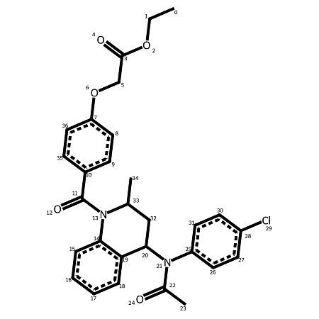 CCOC(=O)COc1ccc(C(=O)N2c3ccccc3C(N(C(C)=O)c3ccc(Cl)cc3)CC2C)cc1